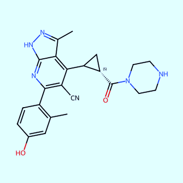 Cc1cc(O)ccc1-c1nc2[nH]nc(C)c2c(C2C[C@@H]2C(=O)N2CCNCC2)c1C#N